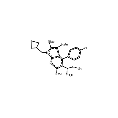 CNc1nc2c(c(NC)c(NC)n2CC2CCC2)c(-c2ccc(Cl)cc2)c1[C@H](OC(C)(C)C)C(=O)O